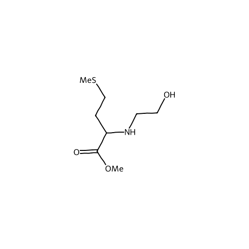 COC(=O)C(CCSC)NCCO